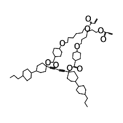 C=CC(=O)OCCCCCCOC1CCC(C(=O)OC2(C#CC#CC3(OC(=O)C4CCC(OCCCCCCOC(=O)C=C)CC4)CCC(C4CCC(CCC)CC4)CC3)CCC(C3CCC(CCC)CC3)CC2)CC1